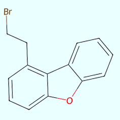 BrCCc1cccc2oc3ccccc3c12